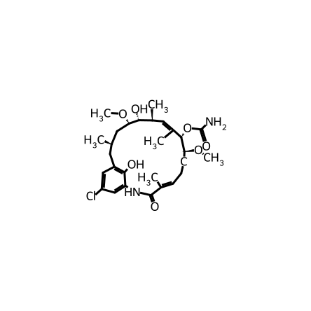 CO[C@H]1C[C@H](C)Cc2cc(Cl)cc(c2O)NC(=O)/C(C)=C/CC[C@H](OC)[C@@H](OC(N)=O)/C(C)=C/[C@H](C)[C@H]1O